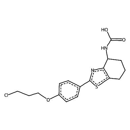 O=C(O)NC1CCCc2sc(-c3ccc(OCCCCl)cc3)nc21